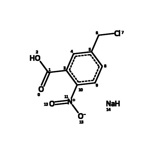 O=C(O)c1cc(CCl)ccc1[N+](=O)[O-].[NaH]